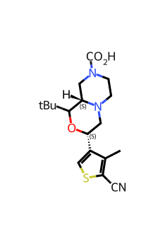 Cc1c([C@H]2CN3CCN(C(=O)O)C[C@H]3C(C(C)(C)C)O2)csc1C#N